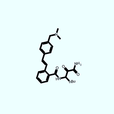 CCCCC(NC(=O)c1ccccc1C=Cc1ccc(CN(C)C)cc1)C(=O)C(N)=O